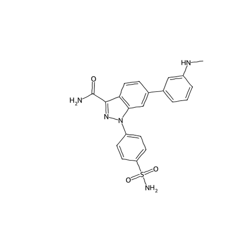 CNc1cccc(-c2ccc3c(C(N)=O)nn(-c4ccc(S(N)(=O)=O)cc4)c3c2)c1